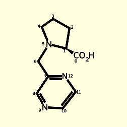 O=C(O)[C@@H]1CCCN1Cc1cnccn1